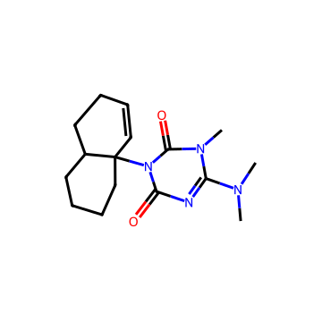 CN(C)c1nc(=O)n(C23C=CCCC2CCCC3)c(=O)n1C